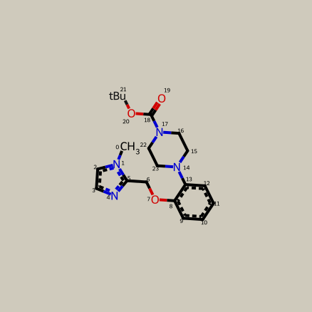 Cn1ccnc1COc1ccccc1N1CCN(C(=O)OC(C)(C)C)CC1